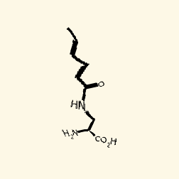 C/C=C/C=C/C(=O)NC[C@H](N)C(=O)O